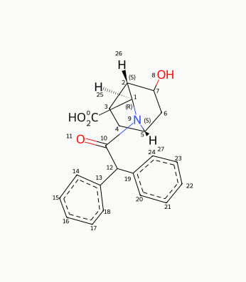 O=C(O)[C@H]1[C@@H]2CC[C@@H](CC2O)N1C(=O)C(c1ccccc1)c1ccccc1